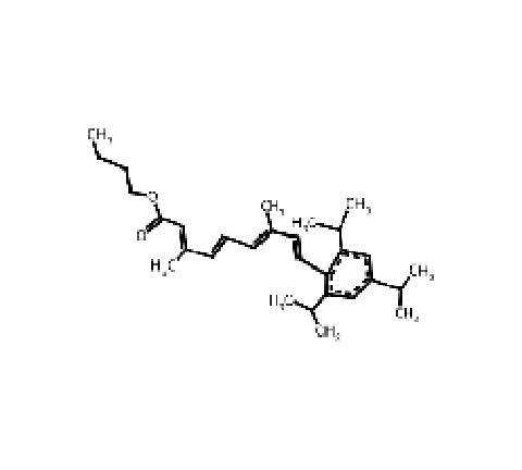 CCCCOC(=O)C=C(C)C=CC=C(C)C=Cc1c(C(C)C)cc(C(C)C)cc1C(C)C